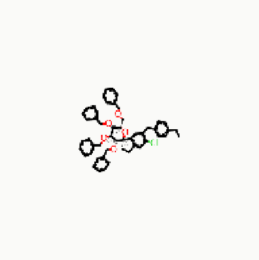 CCc1ccc(Cc2cc3c(cc2Cl)CC[C@]32O[C@H](COCc3ccccc3)[C@@H](OCc3ccccc3)[C@H](OCc3ccccc3)[C@H]2OCc2ccccc2)cc1